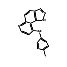 Clc1ccc(Nc2ccnc3ccc4cn[nH]c4c23)cc1